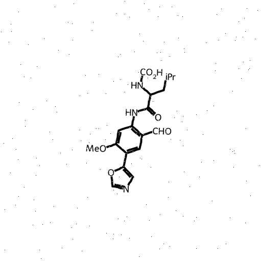 COc1cc(NC(=O)C(CC(C)C)NC(=O)O)c(C=O)cc1-c1cnco1